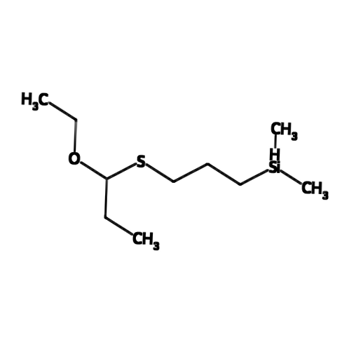 CCOC(CC)SCCC[SiH](C)C